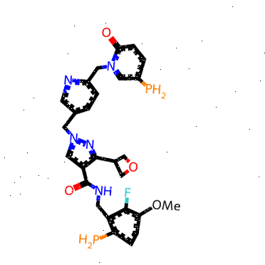 COc1ccc(P)c(CNC(=O)c2cn(Cc3ccc(Cn4cc(P)ccc4=O)nc3)nc2C2COC2)c1F